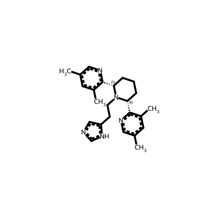 Cc1cnc([C@H]2CCC[C@@H](c3ncc(C)cc3C)N2CCc2cnc[nH]2)c(C)c1